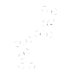 CCCCC1(CCCC)c2cc(N(c3ccccc3)c3ccc(CC4(c5ccc6c(c5)CC6)c5ccccc5-c5ccccc54)cc3)ccc2-c2ccc(N(c3ccccc3)c3ccc(CC4(c5ccc6c(c5)CC6)c5ccccc5-c5ccccc54)cc3)cc21